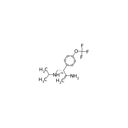 C=C(N)[C@H](CNC(C)C)c1ccc(OC(F)(F)F)cc1